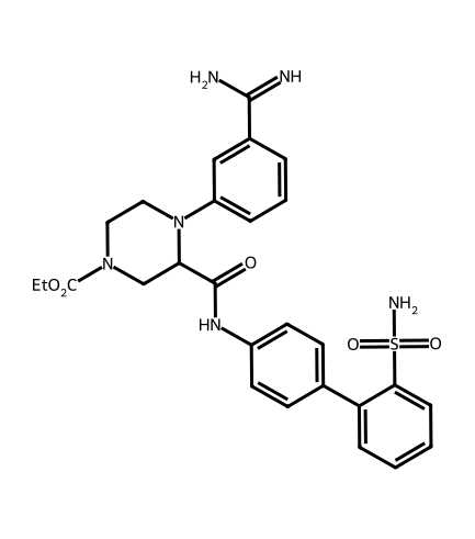 CCOC(=O)N1CCN(c2cccc(C(=N)N)c2)C(C(=O)Nc2ccc(-c3ccccc3S(N)(=O)=O)cc2)C1